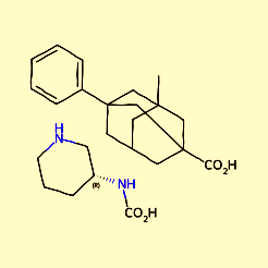 CC12CC3CC(C(=O)O)(C1)CC(c1ccccc1)(C3)C2.O=C(O)N[C@@H]1CCCNC1